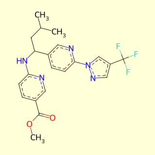 COC(=O)c1ccc(NC(CC(C)C)c2ccc(-n3cc(C(F)(F)F)cn3)nc2)nc1